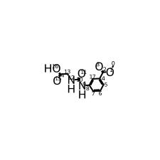 COC(=O)c1cccc(NC(=O)NCC(=O)O)c1